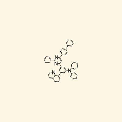 C1=Cc2c(n(-c3cc(-c4cc(-c5ccc(-c6ccccc6)cc5)nc(-c5ccccc5)n4)cc(-c4cccc5cccnc45)c3)c3ccccc23)CC1